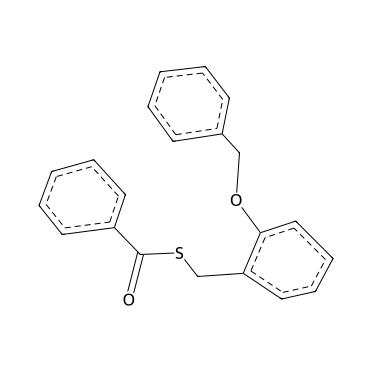 O=C(SCc1ccccc1OCc1ccccc1)c1ccccc1